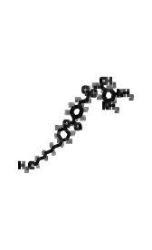 C=CCCCCCCC1CCC(OC(=O)c2ccc(/C=C/C(=O)OCC(C)c3cc(N)cc(N)c3)cc2)CC1